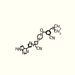 CN(C)Cc1cc(C#N)cc(C(=O)N2CCN([C@H]3C[C@](CC#N)(n4cc(C5N=CN=C6NC=CC65)cn4)C3)CC2)c1